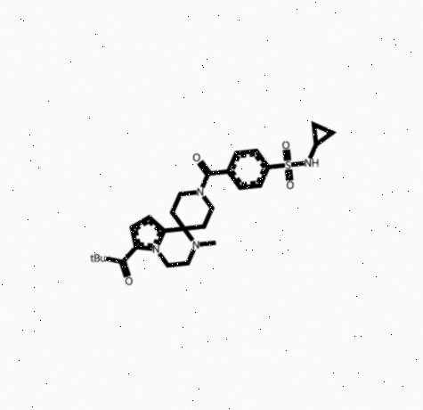 CN1CCn2c(C(=O)C(C)(C)C)ccc2C12CCN(C(=O)c1ccc(S(=O)(=O)NC3CC3)cc1)CC2